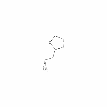 C=C[CH]C1CCCO1